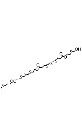 CSCCCOOCCSCSCSCCOC(=O)CCSCSCSCCC(=O)OCCSCO